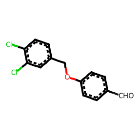 O=Cc1ccc(OCc2ccc(Cl)c(Cl)c2)cc1